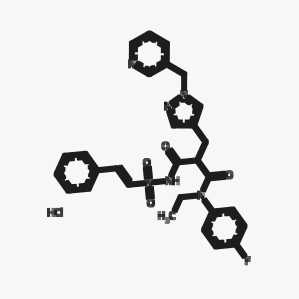 CCN(C(=O)C(Cc1cnn(Cc2cccnc2)c1)C(=O)NS(=O)(=O)/C=C/c1ccccc1)c1ccc(F)cc1.Cl